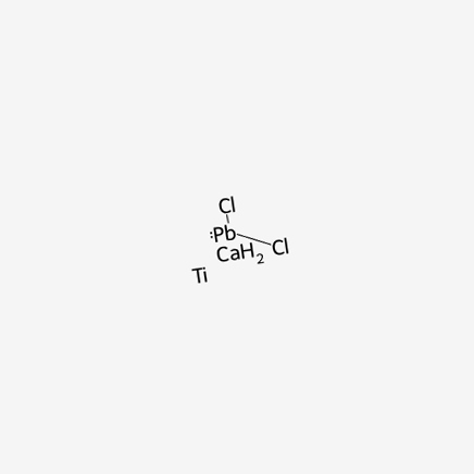 [CaH2].[Cl][Pb][Cl].[Ti]